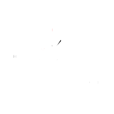 Cc1cccc2c1O[C@@H](CO)C21CCC(CC(=O)O)CC1